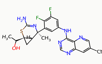 CC(O)[C@]12C[C@H]1[C@](C)(c1cc(Nc3ncnc4cc(C#N)cnc34)cc(F)c1F)N=C(N)S2